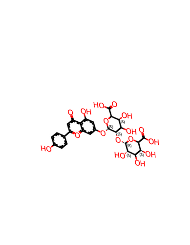 O=C(O)C1O[C@@H](O[C@H]2C(O)[C@H](O)C(C(=O)O)O[C@H]2Oc2cc(O)c3c(=O)cc(-c4ccc(O)cc4)oc3c2)[C@@H](O)C(O)[C@@H]1O